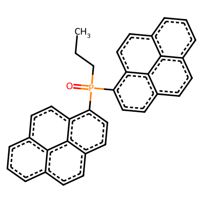 CCCP(=O)(c1ccc2ccc3cccc4ccc1c2c34)c1ccc2ccc3cccc4ccc1c2c34